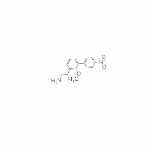 COc1c(CCN)cccc1-c1ccc([N+](=O)[O-])cc1